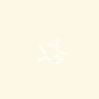 C=CC(=O)NC.CC(C(=O)O)N(C)C